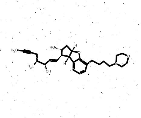 CC#CC[C@H](C)[C@H](O)C=C[C@@H]1[C@H]2c3cccc(CCCCN4CCOCC4)c3O[C@H]2C[C@H]1O